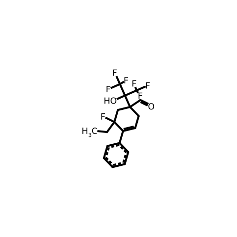 CCC1(F)CC(C=O)(C(O)(C(F)(F)F)C(F)(F)F)CC=C1c1ccccc1